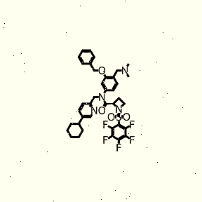 CN(C)Cc1ccc(N(Cc2ccc(C3CCCCC3)cn2)C(=O)[C@H]2CCN2S(=O)(=O)c2c(F)c(F)c(F)c(F)c2F)cc1OCc1ccccc1